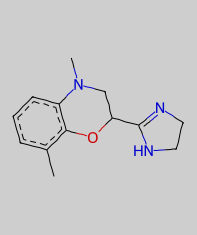 Cc1cccc2c1OC(C1=NCCN1)CN2C